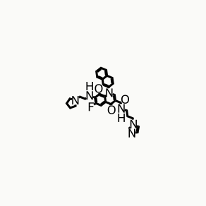 O=C(NCCCn1ccnc1)c1cn2c3c(c(NCCN4CCCC4)c(F)cc3c1=O)Oc1c-2ccc2ccccc12